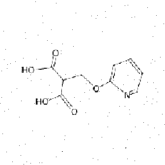 O=C(O)C(COc1ccccn1)C(=O)O